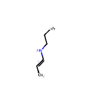 [CH2]/C=C/NCCCCC